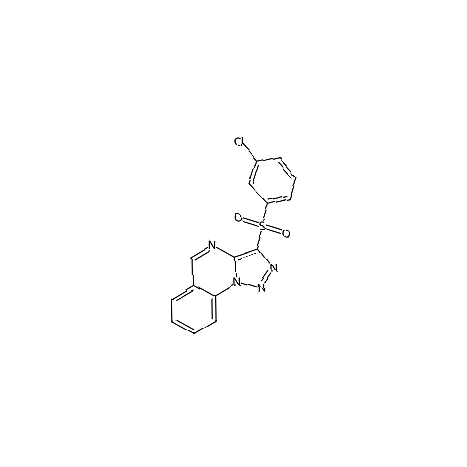 O=S(=O)(c1cccc(Cl)c1)c1nnn2c1ncc1ccccc12